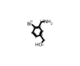 NCc1cc(CO)ccc1Br